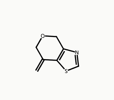 C=C1COCc2ncsc21